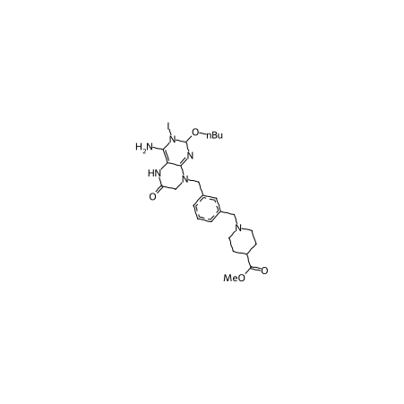 CCCCOC1N=C2C(=C(N)N1I)NC(=O)CN2Cc1cccc(CN2CCC(C(=O)OC)CC2)c1